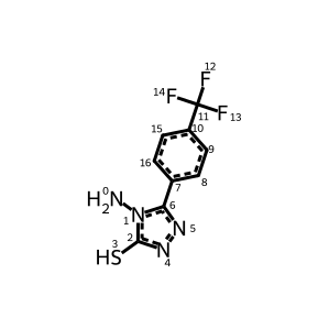 Nn1c(S)nnc1-c1ccc(C(F)(F)F)cc1